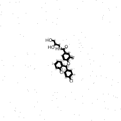 O=C(NCC(O)CO)c1ccc(OC(c2ccc(Cl)cc2)c2ccccc2Cl)c(F)c1